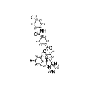 C[C@@H](CC1COC(c2ccc(C(=O)Nc3ccc(Cl)cc3)cc2)OC1)[C@](O)(Cn1cncn1)c1ccc(F)cc1F